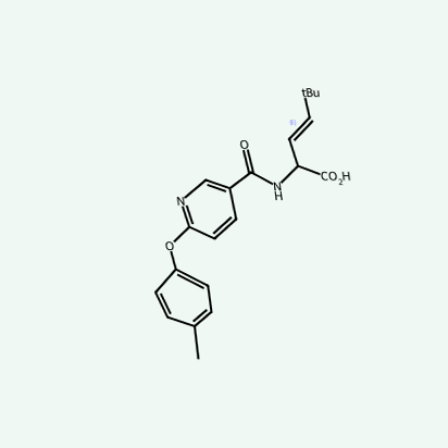 Cc1ccc(Oc2ccc(C(=O)NC(/C=C/C(C)(C)C)C(=O)O)cn2)cc1